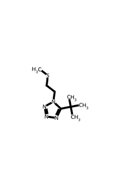 CSCCn1nnnc1C(C)(C)C